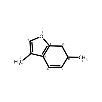 Cc1coc2c1C=CC(C)C2